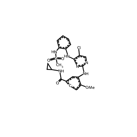 COc1ccc(C(=O)NC2CC2)cc1Nc1ncc(Cl)c(Nc2ccccc2NS(C)(=O)=O)n1